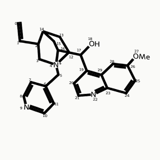 C=CC1C[N+]2(Cc3ccncc3)CCC1CC2C(O)c1ccnc2ccc(OC)cc12